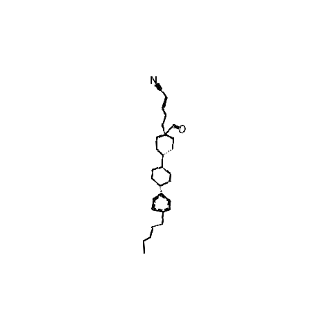 CCCCCc1ccc([C@H]2CC[C@H]([C@H]3CC[C@](C=O)(CCC=CC#N)CC3)CC2)cc1